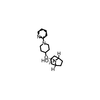 O=C(O)N1[C@@H]2CC[C@H]1C[C@@H](OC1CCN(c3ccccn3)CC1)C2